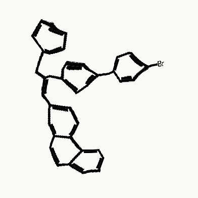 Brc1ccc(-c2ccc(/C(=C\c3ccc4c(ccc5ccccc54)c3)Cc3ccccc3)cc2)cc1